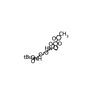 CC1CCC(C2CC(=O)c3c(NCCOCCOCCNC(=O)OC(C)(C)C)cccc3C2=O)C(=O)C1